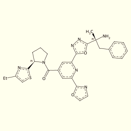 CCc1csc([C@H]2CCCN2C(=O)c2cc(-c3ncco3)nc(-c3nnc([C@](C)(N)Cc4ccccc4)o3)c2)n1